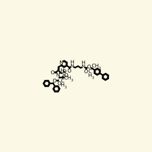 CC(C)(OC(=O)NCCCNC(=O)c1ccnc(/C=C2/C(=O)N3[C@@H](C(=O)OC(c4ccccc4)c4ccccc4)C(C)(C)S(=O)(=O)[C@H]23)c1)c1ccc(-c2ccccc2)cc1